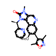 COc1cc2c(cc1-c1c(C)noc1C)ncc1c2n([C@H](C)c2ccccn2)c(=O)n1C